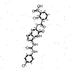 O=C(Nc1ccc(Cl)cc1)Nc1nnc2nc(CC(=O)c3cccc([N+](=O)O)c3Cl)c(=O)[nH]n12